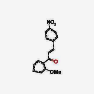 COc1ccccc1C(=O)C=Cc1ccc([N+](=O)[O-])cc1